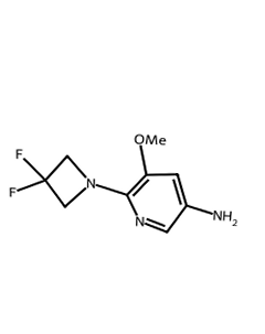 COc1cc(N)cnc1N1CC(F)(F)C1